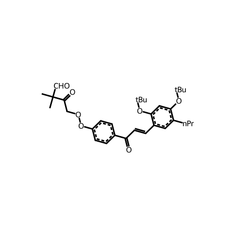 CCCc1cc(C=CC(=O)c2ccc(OOCC(=O)C(C)(C)C=O)cc2)c(OC(C)(C)C)cc1OC(C)(C)C